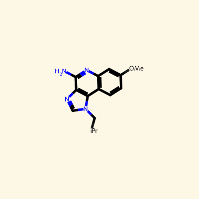 COc1ccc2c(c1)nc(N)c1ncn(CC(C)C)c12